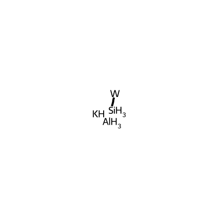 [AlH3].[KH].[SiH3][W]